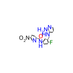 Nc1ncccc1NCc1cc(NC(=O)c2ccc([N+](=O)[O-])cn2)ccc1F